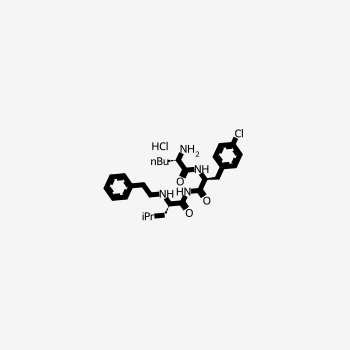 CCCC[C@H](N)C(=O)N[C@@H](Cc1ccc(Cl)cc1)C(=O)NC(=O)[C@H](CC(C)C)NCCc1ccccc1.Cl